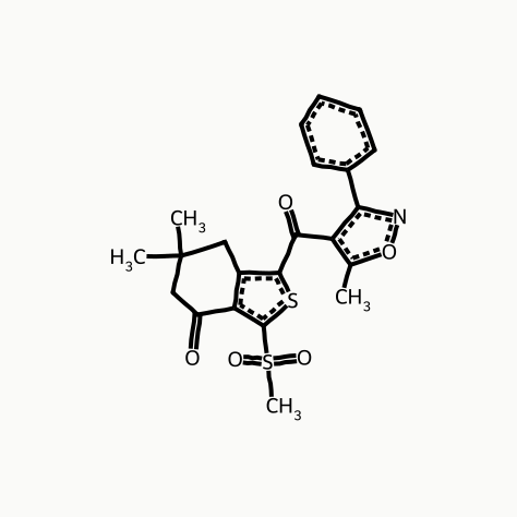 Cc1onc(-c2ccccc2)c1C(=O)c1sc(S(C)(=O)=O)c2c1CC(C)(C)CC2=O